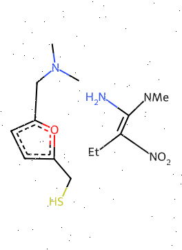 CCC(=C(N)NC)[N+](=O)[O-].CN(C)Cc1ccc(CS)o1